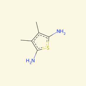 Cc1c(N)sc(N)c1C